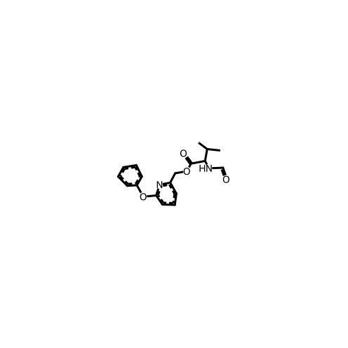 CC(C)C(NC=O)C(=O)OCc1cccc(Oc2ccccc2)n1